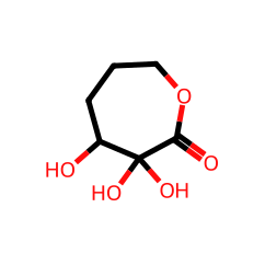 O=C1OCCCC(O)C1(O)O